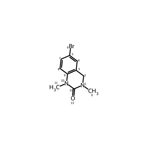 CN1Cc2cc(Br)ccc2N(C)C1=O